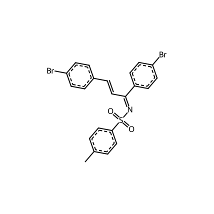 Cc1ccc(S(=O)(=O)/N=C(\C=C\c2ccc(Br)cc2)c2ccc(Br)cc2)cc1